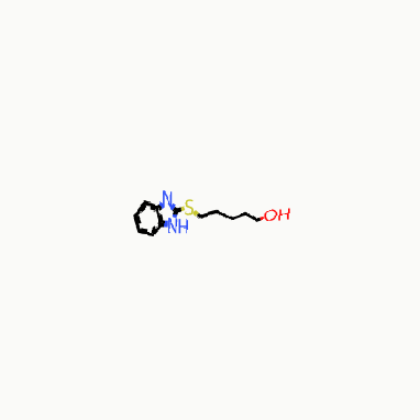 OCCCCCSc1nc2ccccc2[nH]1